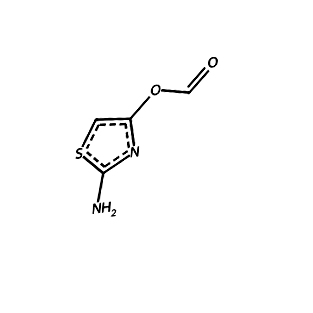 Nc1nc(OC=O)cs1